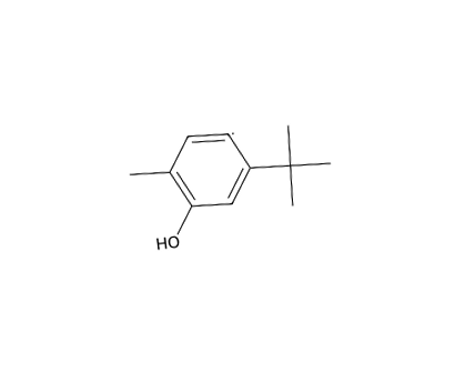 Cc1c[c]c(C(C)(C)C)cc1O